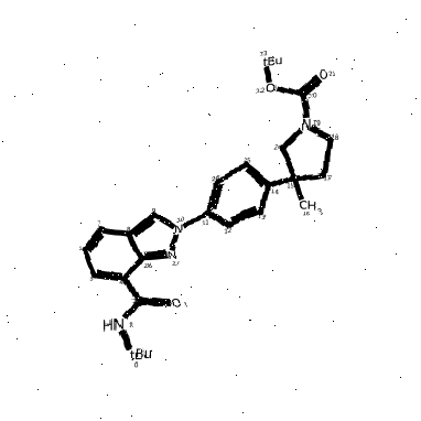 CC(C)(C)NC(=O)c1cccc2cn(-c3ccc(C4(C)CCN(C(=O)OC(C)(C)C)C4)cc3)nc12